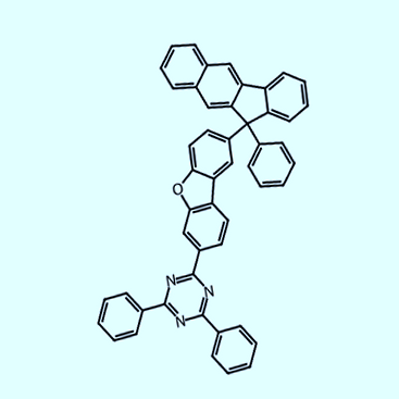 c1ccc(-c2nc(-c3ccccc3)nc(-c3ccc4c(c3)oc3ccc(C5(c6ccccc6)c6ccccc6-c6cc7ccccc7cc65)cc34)n2)cc1